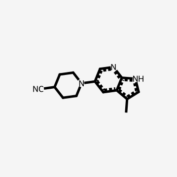 Cc1c[nH]c2ncc(N3CCC(C#N)CC3)cc12